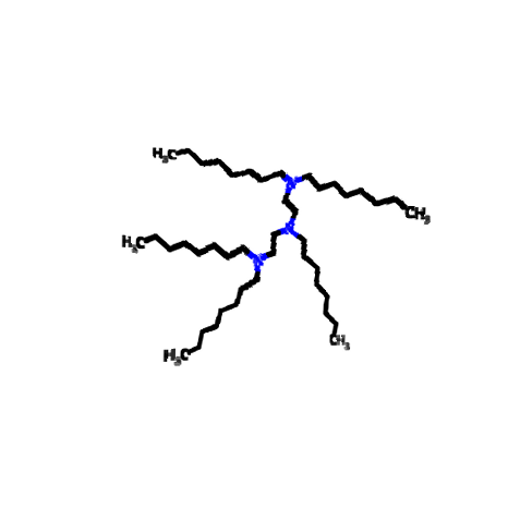 CCCCCCCCN(CCCCCCCC)CCN(CCCCCCCC)CCN(CCCCCCCC)CCCCCCCC